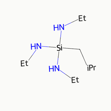 CCN[Si](CC(C)C)(NCC)NCC